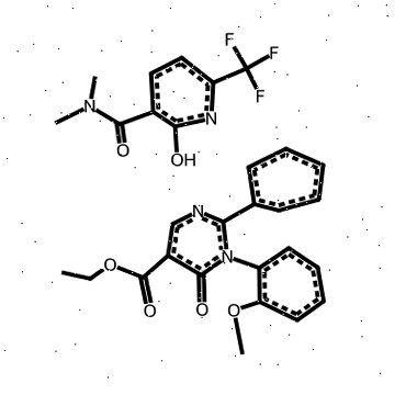 CCOC(=O)c1cnc(-c2ccccc2)n(-c2ccccc2OC)c1=O.CN(C)C(=O)c1ccc(C(F)(F)F)nc1O